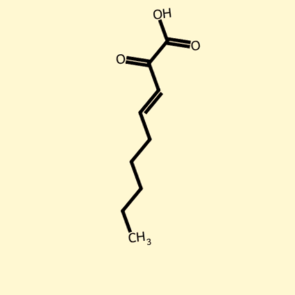 CCCCCC=CC(=O)C(=O)O